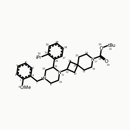 COc1ccccc1CN1CCN(C2CC3(CCN(C(=O)OC(C)(C)C)CC3)C2)C(c2ccccc2C(C)C)C1